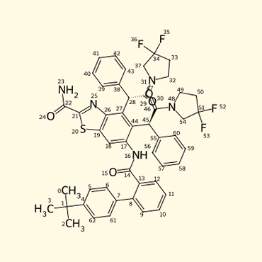 CC(C)(C)c1ccc(-c2ccccc2C(=O)Nc2cc3sc(C(N)=O)nc3c([C@@H](C(=O)N3CCC(F)(F)C3)c3ccccc3)c2[C@@H](C(=O)N2CCC(F)(F)C2)c2ccccc2)cc1